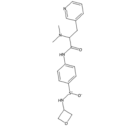 CN(C)C(Cc1cccnc1)C(=O)Nc1ccc([S+]([O-])NC2COC2)cc1